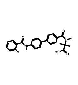 CN(C(=O)c1ccc(-c2ccc(NC(=O)c3ccccc3F)cc2)cc1)C(C)(C)C(=O)O